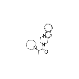 CC(C(=O)N1CCn2c(cc3ccccc32)C1)N1CCCCCC1